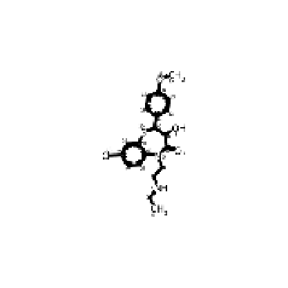 CCNCCN1C(=O)C(O)C(c2ccc(OC)cc2)Sc2cc(Cl)ccc21